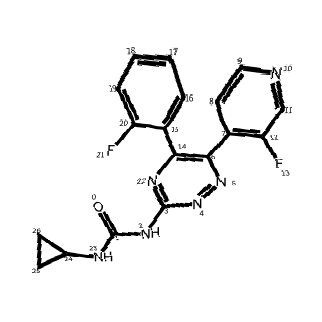 O=C(Nc1nnc(-c2ccncc2F)c(-c2ccccc2F)n1)NC1CC1